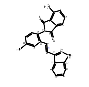 Nc1cccc2c1C(=O)N(c1ccc(F)cc1/C=C/c1n[nH]c3ccccc13)C2=O